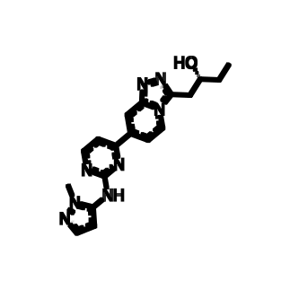 CC[C@@H](O)Cc1nnc2cc(-c3ccnc(Nc4ccnn4C)n3)ccn12